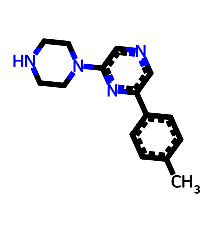 Cc1ccc(-c2cncc(N3CCNCC3)n2)cc1